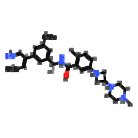 CN/C=C(\C=N)c1cc(OC)cc([C@@H](C)NC(=O)c2cc(N3CC(N4CCN(C)CC4)C3)ccc2C)c1